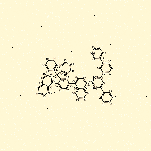 c1ccc(-c2cc(-c3cccc(-c4cccnc4)c3)nc(-c3ccc(-c4ccc5c(c4)C(c4ccccc4)(c4ccccc4)c4ccc6ccccc6c4-5)c4ccccc34)n2)cc1